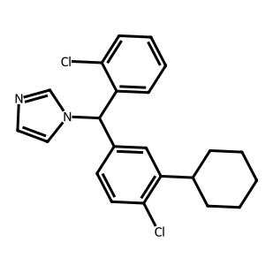 Clc1ccc(C(c2ccccc2Cl)n2ccnc2)cc1C1CCCCC1